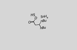 CCCCC(CCCC)CC(=O)OS.[SnH4]